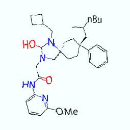 CCCCC(C)C[C@]1(c2ccccc2)CC[C@]2(CC1)CN(CC(=O)Nc1cccc(OC)n1)C(O)N2CC1CCC1